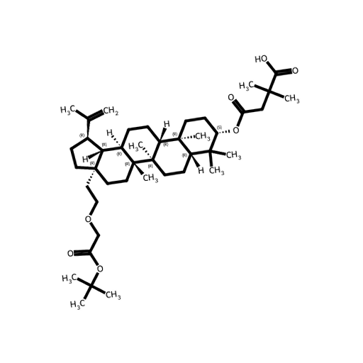 C=C(C)[C@@H]1CC[C@]2(CCOCC(=O)OC(C)(C)C)CC[C@]3(C)[C@H](CC[C@@H]4[C@@]5(C)CC[C@H](OC(=O)CC(C)(C)C(=O)O)C(C)(C)[C@@H]5CC[C@]43C)[C@@H]12